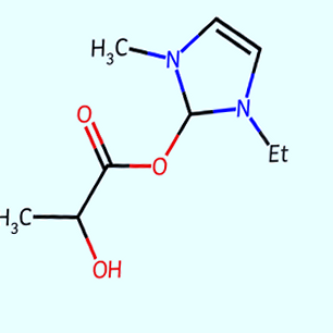 CCN1C=CN(C)C1OC(=O)C(C)O